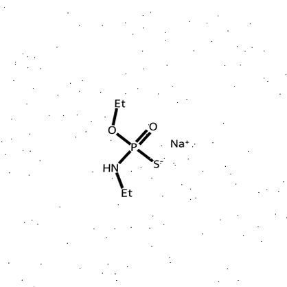 CCNP(=O)([S-])OCC.[Na+]